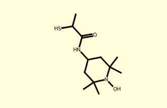 CC(S)C(=O)NC1CC(C)(C)N(O)C(C)(C)C1